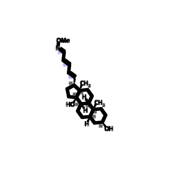 CO/N=C/C=C/C=C/[C@H]1CC[C@]2(O)[C@@H]3CC[C@@H]4C[C@@H](O)CC[C@]4(C)[C@H]3CC[C@]12C